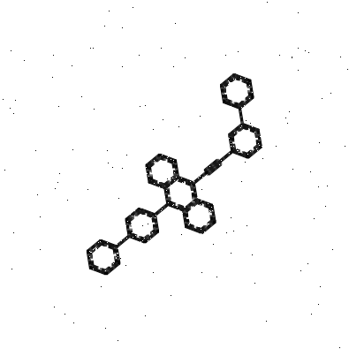 C(#Cc1c2ccccc2c(-c2ccc(-c3ccccc3)cc2)c2ccccc12)c1cccc(-c2ccccc2)c1